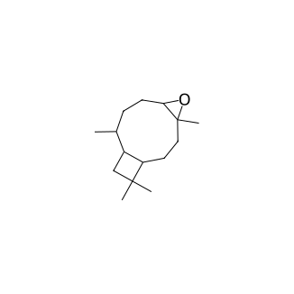 CC1CCC2OC2(C)CCC2C1CC2(C)C